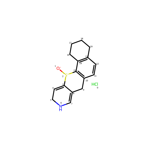 Cl.[O-][S+]1C2=CCNC=C2Cc2ccc3c(c21)CCCC3